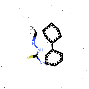 CCC=NNC(N)=S.c1ccc(-c2ccccc2)cc1